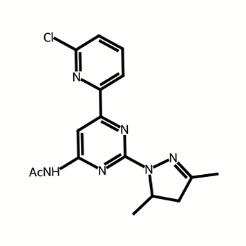 CC(=O)Nc1cc(-c2cccc(Cl)n2)nc(N2N=C(C)CC2C)n1